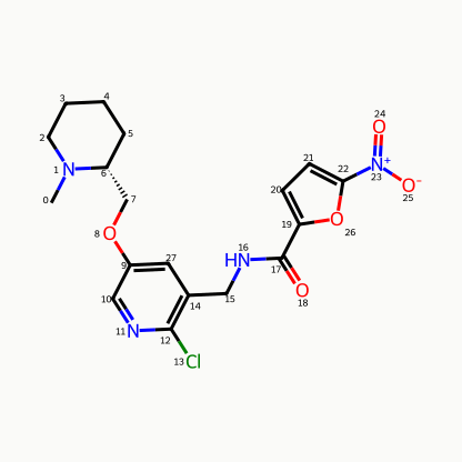 CN1CCCC[C@@H]1COc1cnc(Cl)c(CNC(=O)c2ccc([N+](=O)[O-])o2)c1